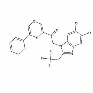 O=C(Cn1c(CC(F)(F)F)nc2cc(Cl)c(Cl)cc21)C1=COC=C(C2=CC=CCC2)O1